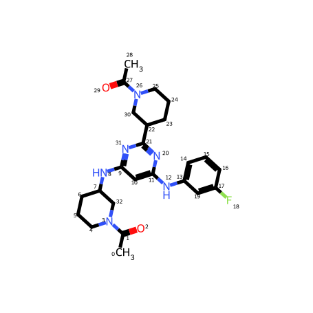 CC(=O)N1CCCC(Nc2cc(Nc3cccc(F)c3)nc(C3CCCN(C(C)=O)C3)n2)C1